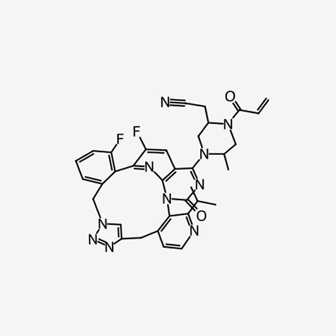 C=CC(=O)N1CC(C)N(c2nc(=O)n3c4nc(c(F)cc24)-c2c(F)cccc2Cn2cc(nn2)Cc2ccnc(C(C)C)c2-3)CC1CC#N